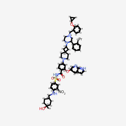 CC(C)c1ccccc1C1CN(Cc2ccccc2OC2CC2)CCN1C1CC2(CCN(c3ccc(C(=O)NS(=O)(=O)c4ccc(NCC5CCC(C)(O)CC5)c([N+](=O)[O-])c4)c(Oc4cnc5[nH]ccc5c4)c3)CC2)C1